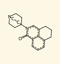 O=c1c2cccc3c2c(cn1C12CCN(CC1)CC2)CCC3